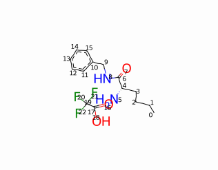 CCCC[C@H](N)C(=O)NCc1ccccc1.O=C(O)C(F)(F)F